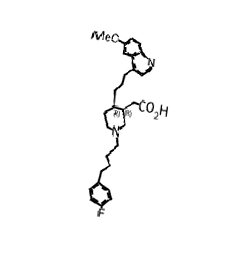 COc1ccc2nccc(CCC[C@@H]3CCN(CCCCc4ccc(F)cc4)C[C@@H]3CC(=O)O)c2c1